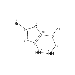 CC1CNNc2cc(Br)oc21